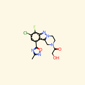 Cc1noc(-c2cc(Cl)c(F)c3nn4c(c23)CN(C(=O)CO)CC4)n1